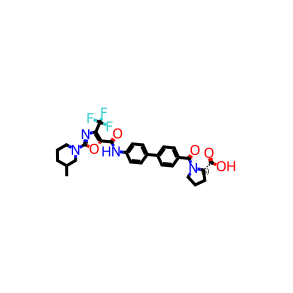 CC1CCCN(c2nc(C(F)(F)F)c(C(=O)Nc3ccc(-c4ccc(C(=O)N5CCC[C@H]5C(=O)O)cc4)cc3)o2)C1